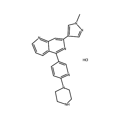 Cl.Cn1cc(-c2cc3ncccc3c(-c3ccc(N4CCNCC4)nc3)n2)cn1